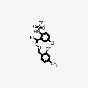 CCC(=NOCc1ccc(C(F)(F)F)cc1C(F)(F)F)c1cc(Cl)ccc1NS(=O)(=O)C(F)(F)F